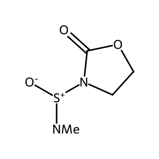 CN[S+]([O-])N1CCOC1=O